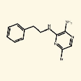 Nc1ncc(Br)nc1NCCc1ccccc1